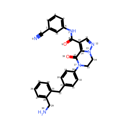 N#Cc1cccc(NC(=O)c2cnn3c2C(=O)N(c2ccc(Cc4ccccc4CN)cc2)CC3)c1